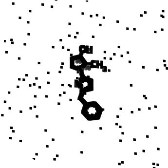 C[C@H]1[C@H](O)CCN1c1ccn(Cc2ccccc2)n1